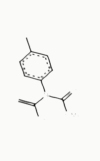 C=C(C(C)C)N(C(=O)OC)c1ccc(C)cc1